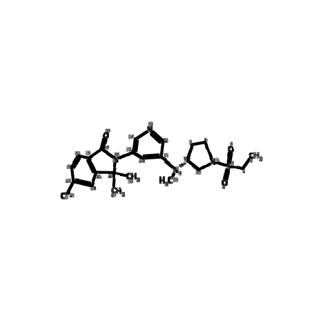 CCS(=O)(=O)N1CC[C@@H](N(C)c2cncc(N3C(=O)c4ccc(Cl)cc4C3(C)C)c2)C1